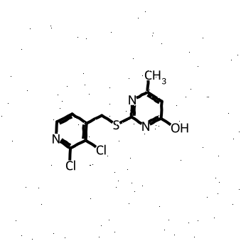 Cc1cc(O)nc(SCc2ccnc(Cl)c2Cl)n1